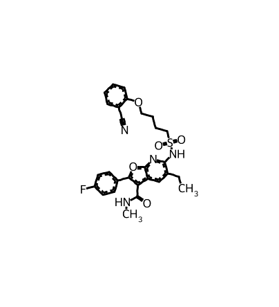 CCc1cc2c(C(=O)NC)c(-c3ccc(F)cc3)oc2nc1NS(=O)(=O)CCCCOc1ccccc1C#N